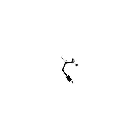 C[C@H](N)CC#N.Cl